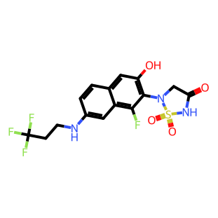 O=C1CN(c2c(O)cc3ccc(NCCC(F)(F)F)cc3c2F)S(=O)(=O)N1